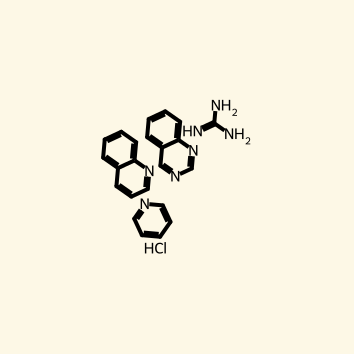 Cl.N=C(N)N.c1ccc2ncccc2c1.c1ccc2ncncc2c1.c1ccncc1